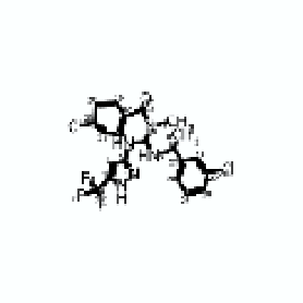 CC(NC(Nc1cc(C(F)(F)F)[nH]n1)N(C)C(=O)c1ccc(Cl)cc1)c1cccc(Cl)c1